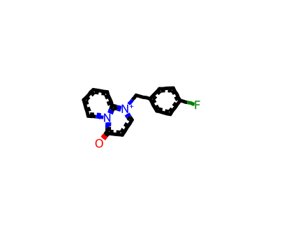 O=c1cc[n+](Cc2ccc(F)cc2)c2ccccn12